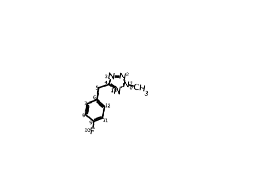 Cn1nnc(Cc2ccc(F)cc2)n1